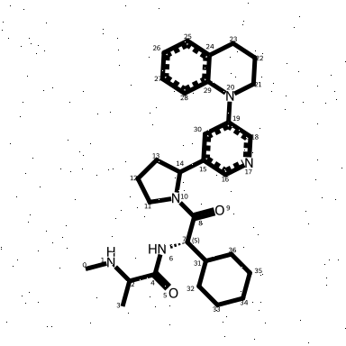 CNC(C)C(=O)N[C@H](C(=O)N1CCCC1c1cncc(N2CCCc3ccccc32)c1)C1CCCCC1